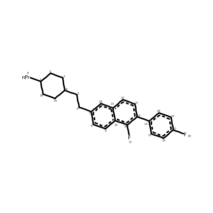 CCCC1CCC(CCc2ccc3c(F)c(-c4ccc(F)cc4)ccc3c2)CC1